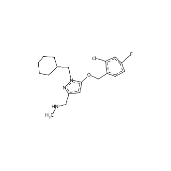 CNCc1cc(OCc2ccc(F)cc2Cl)n(CC2CCCCC2)n1